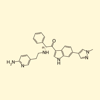 Cn1cc(-c2ccc3c(C(=O)[C@H](NCCc4ccc(N)nc4)c4ccccc4)c[nH]c3c2)cn1